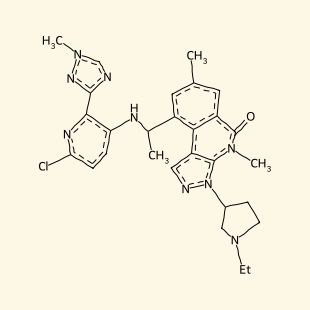 CCN1CCC(n2ncc3c4c(C(C)Nc5ccc(Cl)nc5-c5ncn(C)n5)cc(C)cc4c(=O)n(C)c32)C1